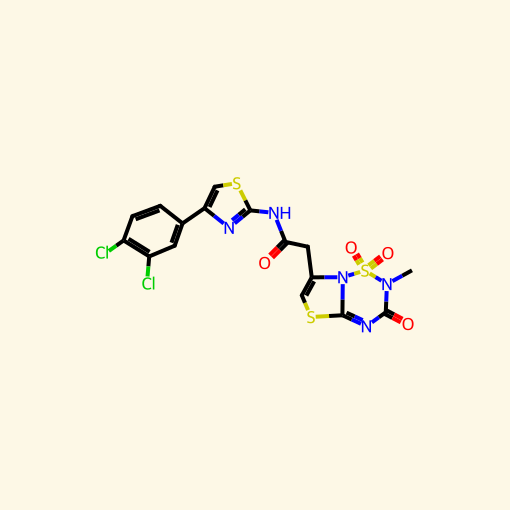 CN1C(=O)N=C2SC=C(CC(=O)Nc3nc(-c4ccc(Cl)c(Cl)c4)cs3)N2S1(=O)=O